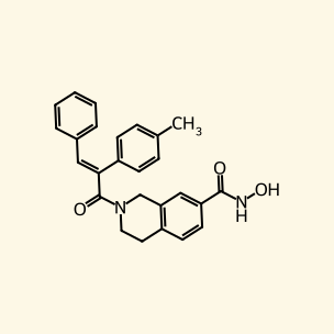 Cc1ccc(C(=Cc2ccccc2)C(=O)N2CCc3ccc(C(=O)NO)cc3C2)cc1